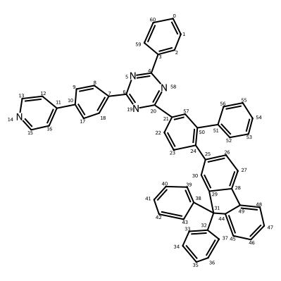 c1ccc(-c2nc(-c3ccc(-c4ccncc4)cc3)nc(-c3ccc(-c4ccc5c(c4)C(c4ccccc4)(c4ccccc4)c4ccccc4-5)c(-c4ccccc4)c3)n2)cc1